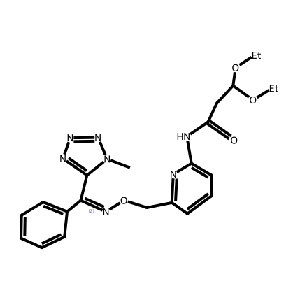 CCOC(CC(=O)Nc1cccc(CO/N=C(/c2ccccc2)c2nnnn2C)n1)OCC